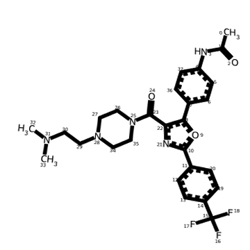 CC(=O)Nc1ccc(-c2oc(-c3ccc(C(F)(F)F)cc3)nc2C(=O)N2CCN(CCN(C)C)CC2)cc1